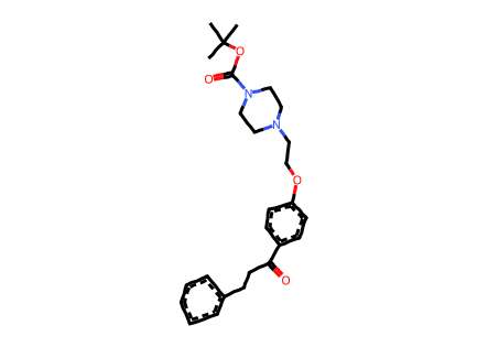 CC(C)(C)OC(=O)N1CCN(CCOc2ccc(C(=O)CCc3ccccc3)cc2)CC1